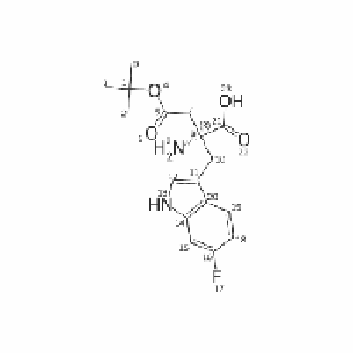 CC(C)(C)OC(=O)C[C@](N)(Cc1c[nH]c2cc(F)ccc12)C(=O)O